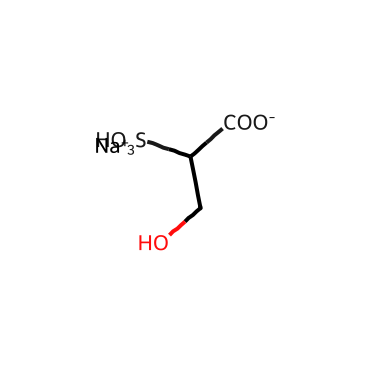 O=C([O-])C(CO)S(=O)(=O)O.[Na+]